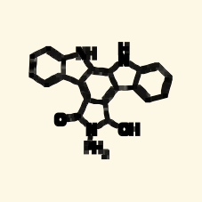 O=C1c2c(c3c4ccccc4[nH]c3c3[nH]c4ccccc4c23)C(O)N1P